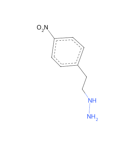 NNCCc1ccc([N+](=O)[O-])cc1